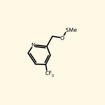 CSOCc1cc(C(F)(F)F)ccn1